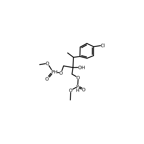 CO[PH](=O)OCC(O)(CO[PH](=O)OC)C(C)c1ccc(Cl)cc1